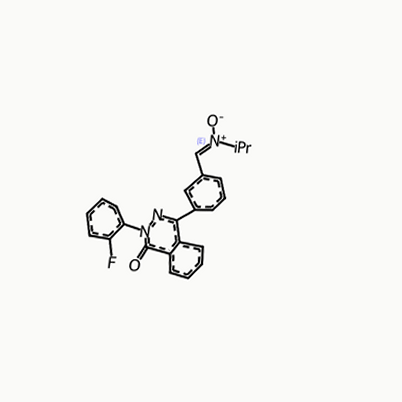 CC(C)/[N+]([O-])=C\c1cccc(-c2nn(-c3ccccc3F)c(=O)c3ccccc23)c1